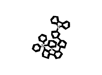 c1ccc([Si](c2ccccc2)(c2ccccc2)c2cccc3c2sc2c(-c4cccc(-c5cccc(-n6c7ccccc7c7ccccc76)c5)c4)cccc23)cc1